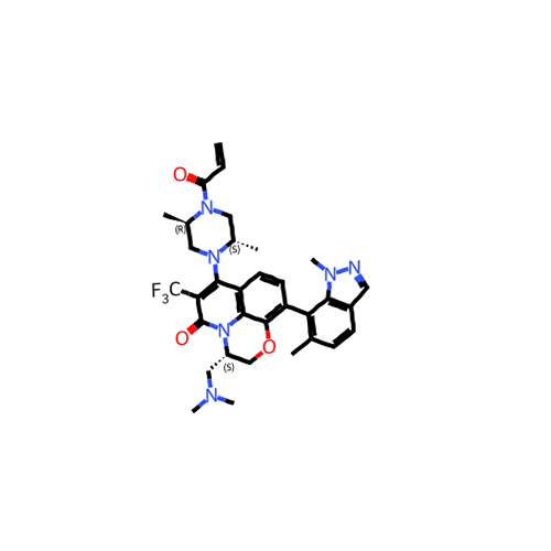 C=CC(=O)N1C[C@H](C)N(c2c(C(F)(F)F)c(=O)n3c4c(c(-c5c(C)ccc6cnn(C)c56)ccc24)OC[C@@H]3CN(C)C)C[C@H]1C